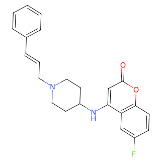 O=c1cc(NC2CCN(C/C=C/c3ccccc3)CC2)c2cc(F)ccc2o1